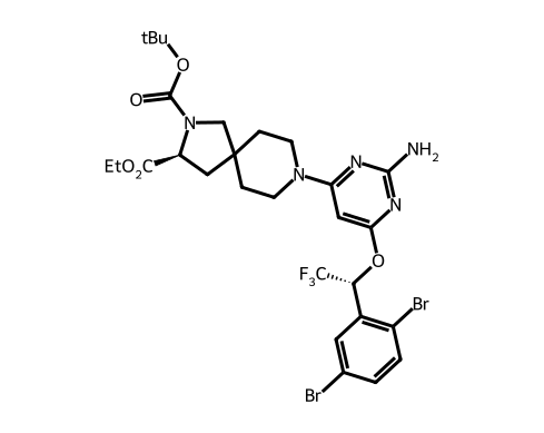 CCOC(=O)[C@@H]1CC2(CCN(c3cc(O[C@H](c4cc(Br)ccc4Br)C(F)(F)F)nc(N)n3)CC2)CN1C(=O)OC(C)(C)C